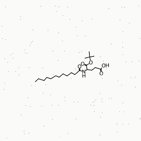 CCCCCCCCCCCC(=O)NC(CCC(=O)O)C(=O)OC(C)(C)C